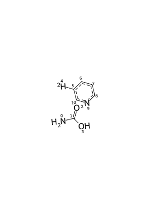 NC(=O)O.[2H]c1cccnc1